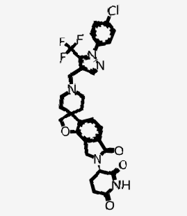 O=C1CC[C@H](N2Cc3c(ccc4c3OCC43CCN(Cc4cnn(-c5ccc(Cl)cc5)c4C(F)(F)F)CC3)C2=O)C(=O)N1